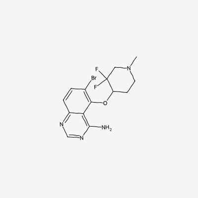 CN1CCC(Oc2c(Br)ccc3ncnc(N)c23)C(F)(F)C1